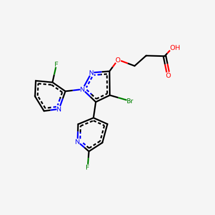 O=C(O)CCOc1nn(-c2ncccc2F)c(-c2ccc(F)nc2)c1Br